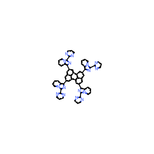 c1cnc(-c2nc(-c3cc4cc(-c5nc(-c6ncccn6)n6ccccc56)cc5c6cc(-c7nc(-c8ncccn8)n8ccccc78)cc7cc(-c8nc(-c9ncccn9)n9ccccc89)cc(c(c3)c45)c76)c3ccccn23)nc1